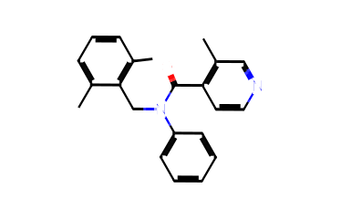 Cc1cnccc1C(=O)N(Cc1c(C)cccc1C)c1ccccc1